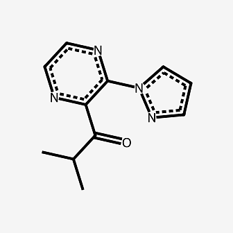 CC(C)C(=O)c1nccnc1-n1cccn1